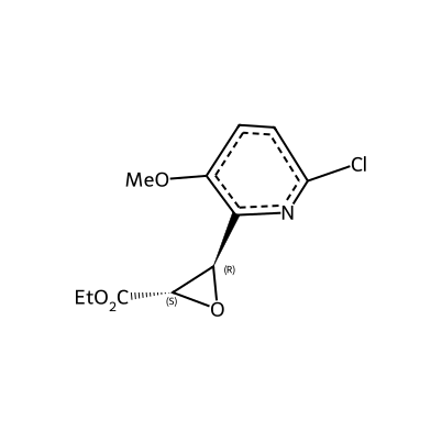 CCOC(=O)[C@H]1O[C@@H]1c1nc(Cl)ccc1OC